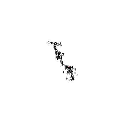 Cc1ncsc1-c1ccc([C@H](C)NC(=O)[C@@H]2C[C@@H](O)CN2C(=O)C(NC(=O)COCCOCC(=O)N2CCN(CCC(CSc3ccccc3)Nc3ccc(S(=O)(=O)NC(=O)c4ccc(N5CCN(CC6=C(c7ccc(Cl)cc7)CCC(C)(C)C6)CC5)cc4)cc3S(=O)(=O)C(F)(F)F)CC2)C(C)(C)C)cc1